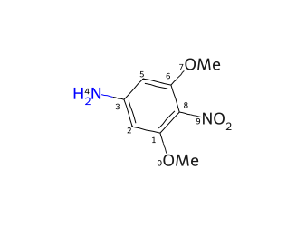 COc1cc(N)cc(OC)c1[N+](=O)[O-]